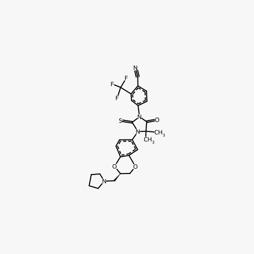 CC1(C)C(=O)N(c2ccc(C#N)c(C(F)(F)F)c2)C(=S)N1c1ccc2c(c1)OC[C@@H](CN1CCCC1)O2